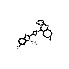 Cn1c(C2CN(c3c4c(nc5ccnn35)CCNCC4)C2)nc2ccc(Cl)cc21